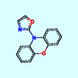 c1ccc2c(c1)Oc1ccccc1N2c1ncco1